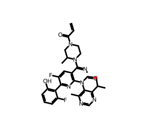 C=CC(=O)N1CCN(/C(=N/C)c2cc(F)c(-c3c(O)cccc3F)nc2N(C=O)c2c(C)ncnc2C(C)C)C(C)C1